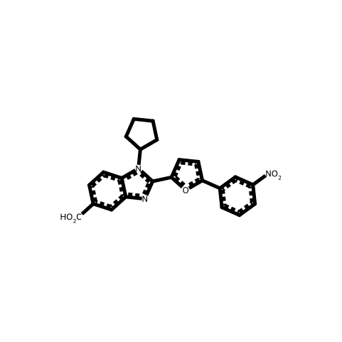 O=C(O)c1ccc2c(c1)nc(-c1ccc(-c3cccc([N+](=O)[O-])c3)o1)n2C1CCCC1